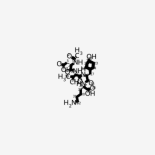 CC(=O)N[C@@H](CC(=O)O)C(=O)N[C@H](C(=O)N[C@@H](Cc1ccc(O)cc1)C(=O)N[C@@H](CCCCN)C(=O)O)C(C)C